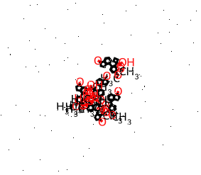 COc1ccc(-c2cccc3c2CCC3=O)c(C2(C(=O)O)CCC2)c1OC.COc1ccc(-c2cccc3c2CCC3=O)c(OC(=O)C(C)(C)C(CC(CCC(C)(C(=O)O)c2c(-c3cccc4c3CCC4=O)ccc(OC)c2OC)(CC(C)C(C(=O)O)c2c(-c3cccc4c3CCC4=O)ccc(OC)c2OC)C(=O)O)c2c(-c3cccc4c3CCC4=O)ccc(OC)c2OC)c1OC